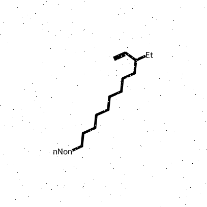 C=C[C](CC)CCCCCCCCCCCCCCCCCC